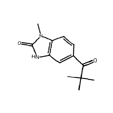 Cn1c(=O)[nH]c2cc(C(=O)C(C)(C)C)ccc21